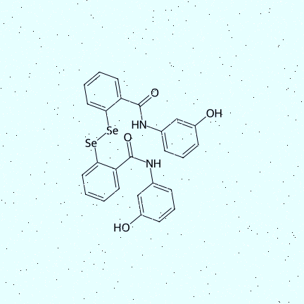 O=C(Nc1cccc(O)c1)c1ccccc1[Se][Se]c1ccccc1C(=O)Nc1cccc(O)c1